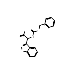 O=C(NC(C(=O)O)c1noc2ccccc12)OCc1ccccc1